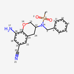 CS(=O)(=O)N(Cc1ccccc1)C1COc2c(N)cc(C#N)cc2C1